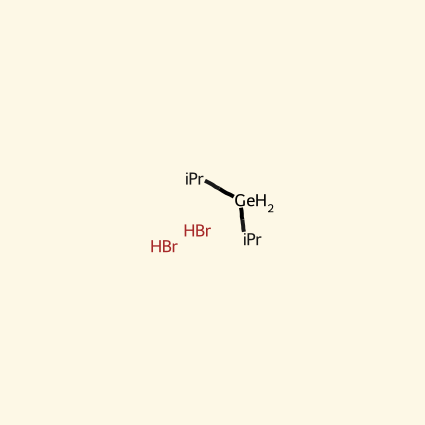 Br.Br.C[CH](C)[GeH2][CH](C)C